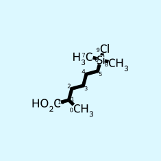 CC(CCCC[Si](C)(C)Cl)C(=O)O